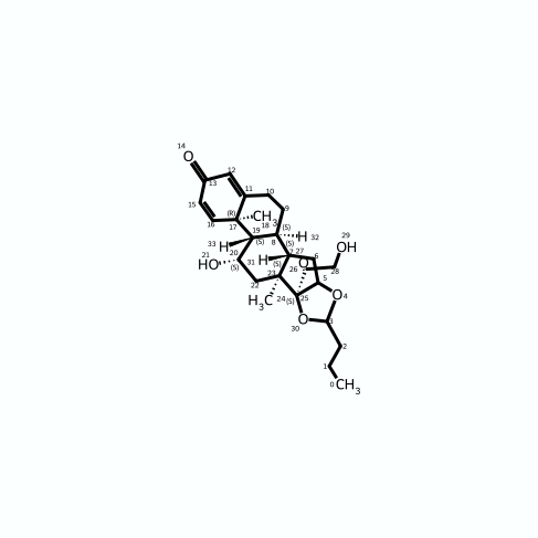 CCCC1OC2C[C@H]3[C@@H]4CCC5=CC(=O)C=C[C@]5(C)[C@H]4[C@@H](O)C[C@]3(C)[C@]2(C(=O)CO)O1